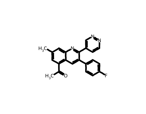 CC(=O)c1cc(C)cc2nc(-c3ccnnc3)c(-c3ccc(F)cc3)cc12